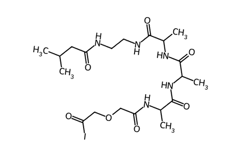 CC(C)CC(=O)NCCNC(=O)C(C)NC(=O)C(C)NC(=O)C(C)NC(=O)COCC(=O)I